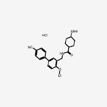 CCOc1ccc(-c2ccc(C#N)cc2)cc1CNC(=O)C1CCC(NC)CC1.Cl